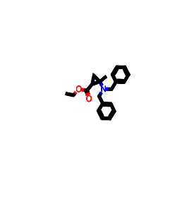 CCOC(=O)C1CC1(C)N(Cc1ccccc1)Cc1ccccc1